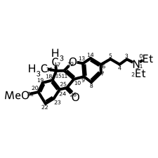 CCN(CC)CCCc1ccc2c3c(oc2c1)C(C)(C)c1cc(OC)ccc1C3=O